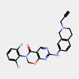 C#CCN1CCc2ccc(Nc3ncc4c(n3)OCN(c3c(Cl)cccc3Cl)C4=O)cc2C1